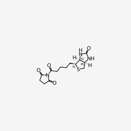 O=C1N[C@H]2[C@H](CS[C@H]2CCCCC(=O)N2C(=O)CCC2=O)N1